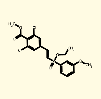 CCOP(=O)(/C=C/c1cc(Cl)c(C(=O)OC)c(Cl)c1)c1cccc(OC)c1